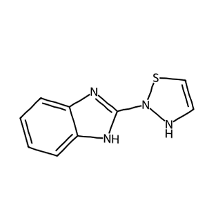 C1=CSN(c2nc3ccccc3[nH]2)N1